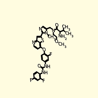 COCCN(Cc1cnc(-c2cc3nccc(Oc4ccc(NC(=O)Nc5ccc(F)cc5F)cc4F)c3s2)n1C)C(=O)C(N)C(C)C